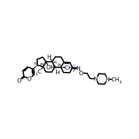 CN1CCN(CCO/N=C2/C=C3CC[C@@H]4[C@H](CC[C@]5(C)[C@@H](c6ccc(=O)oc6)CC[C@]45O)[C@@]3(C)CC2)CC1